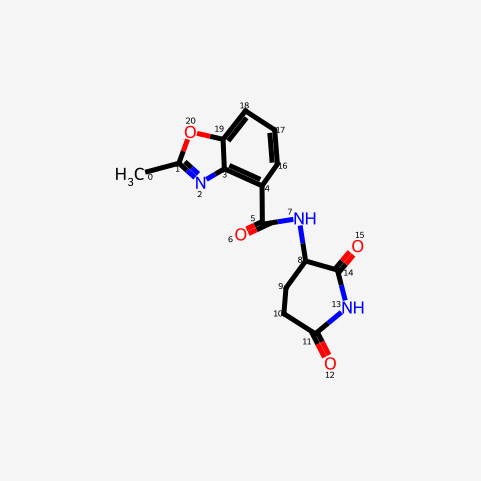 Cc1nc2c(C(=O)NC3CCC(=O)NC3=O)cccc2o1